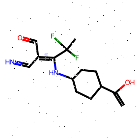 C=C(O)C1CCC(N/C(=C(\C=N)C=O)C(C)(F)F)CC1